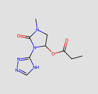 CCC(=O)OC1CN(C)C(=O)N1c1nnc[nH]1